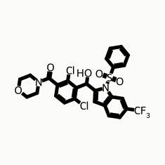 O=C(c1ccc(Cl)c(C(O)c2cc3ccc(C(F)(F)F)cc3n2S(=O)(=O)c2ccccc2)c1Cl)N1CCOCC1